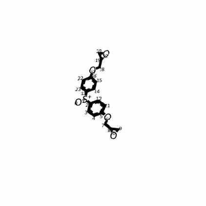 [O-][S+](c1ccc(OCC2CO2)cc1)c1ccc(OCC2CO2)cc1